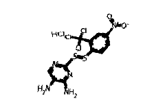 Cl.Nc1cnc(SSc2ccc([N+](=O)[O-])cc2C(Cl)(Cl)Cl)nc1N